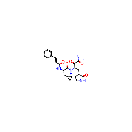 NC(=O)C(=O)C(C[C@@H]1CCNC1=O)NC(=O)[C@H](CC1CC1)NC(=O)C=Cc1ccccc1